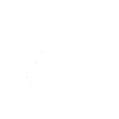 CCCCCCCCCCC/C=C\c1cccc(C=CC(=O)OC)c1